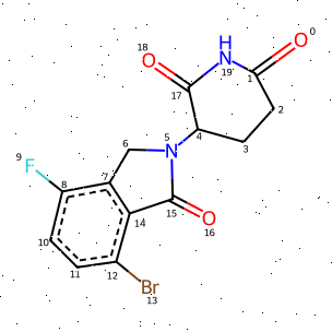 O=C1CCC(N2Cc3c(F)ccc(Br)c3C2=O)C(=O)N1